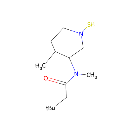 CC1CCN(S)CC1N(C)C(=O)CC(C)(C)C